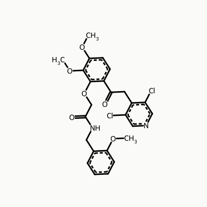 COc1ccccc1CNC(=O)COc1c(C(=O)Cc2c(Cl)cncc2Cl)ccc(OC)c1OC